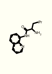 CC(C)CC(N)C(=O)Nc1cccc2cccnc12